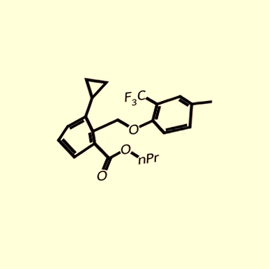 CCCOC(=O)c1cccc(C2CC2)c1COc1ccc(C)cc1C(F)(F)F